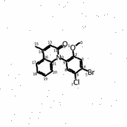 COc1cc(Br)c(Cl)cc1-n1c(=O)cc(C)c2ccccc21